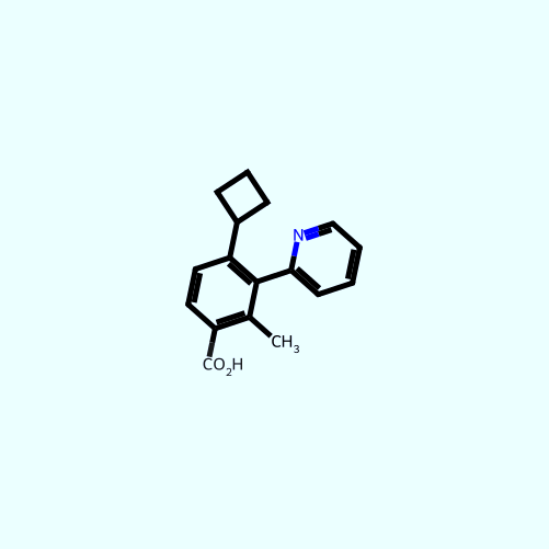 Cc1c(C(=O)O)ccc(C2CCC2)c1-c1ccccn1